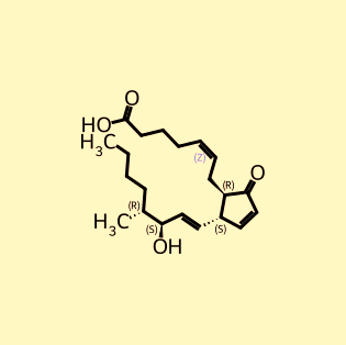 CCCC[C@@H](C)[C@H](O)C=C[C@H]1C=CC(=O)[C@@H]1C/C=C\CCCC(=O)O